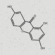 O=c1c2cc(O)ccc2oc2cc(O)cc(O)c12